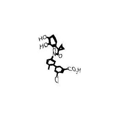 Cc1ccc(NC(=O)C2(c3ccc(O)c(O)c3)CC2)cc1-c1cc(Cl)cc(C(=O)O)c1